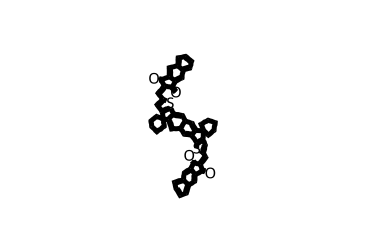 O=C1C(=Cc2cc3c(s2)C2=CC4C=C5C(=CC4C=C2C32CCCCC2)c2sc(C=C3C(=O)c4cc6ccccc6cc4C3=O)cc2C52CCCCC2)C(=O)c2cc3ccccc3cc21